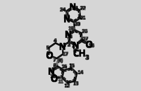 Cn1c(N2CCO[C@@H](c3noc4ccccc34)C2)nc(-c2ccncn2)cc1=O